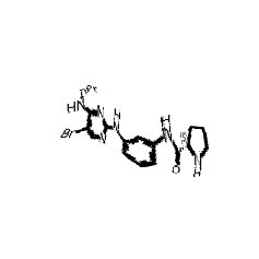 [CH2]CCNc1nc(Nc2cccc(NC(=O)[C@@H]3CCCN3)c2)ncc1Br